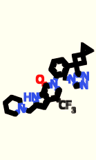 Cn1cnnc1C1(c2cccc(-n3cc(C(F)(F)F)c4cc(CN5CCCCC5)[nH]c4c3=O)c2)CC2(CC2)C1